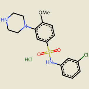 COc1ccc(S(=O)(=O)Nc2cccc(Cl)c2)cc1N1CCNCC1.Cl